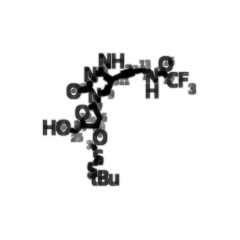 CC(C)(C)SSCO[C@H]1C[C@H](n2cc(C#CCNC(=O)C(F)(F)F)c(N)nc2=O)O[C@@H]1CO